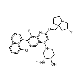 CN[C@@H]1CN(c2nc(OC[C@@]34CCCN3C[C@H](F)C4)nc3c(F)c(-c4cccc5cccc(Cl)c45)ncc23)CC[C@H]1O